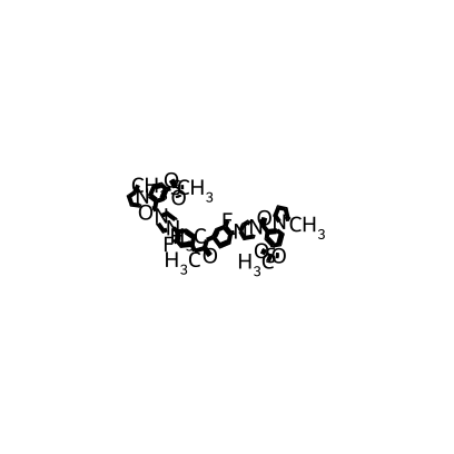 CC(C(=O)C(C)c1ccc(N2CCN(C(=O)c3cc(S(C)(=O)=O)ccc3N3CCCC3C)CC2)c(F)c1)c1ccc(N2CCN(C(=O)c3cc(S(C)(=O)=O)ccc3N3CCCC3C)CC2)c(F)c1